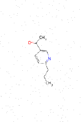 CCCc1ccc(C(C)=O)cn1